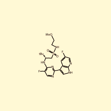 COCCNS(=O)(=O)C[C@@H](Nc1nc(-c2c[nH]c3ncc(F)cc23)ncc1F)C(C)(C)C